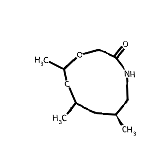 CC1CC(C)OCC(=O)NC[C@@H](C)C1